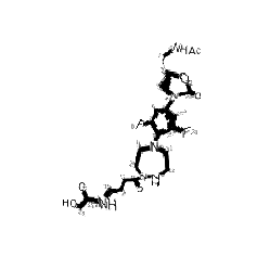 CC(=O)NC[C@H]1CN(c2cc(F)c(N3CCNN(C(=O)CCCNC(=O)CO)CC3)c(F)c2)C(=O)O1